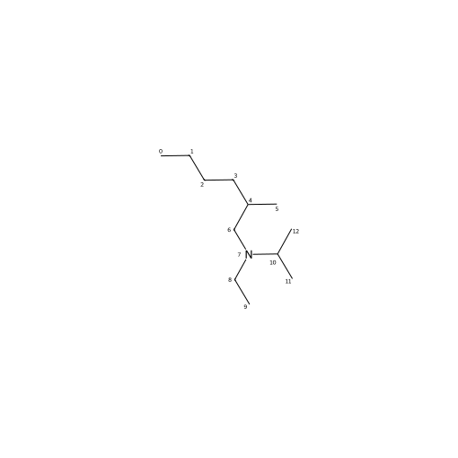 CCCCC(C)CN(CC)C(C)C